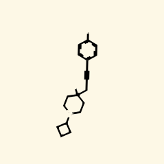 CCCC1(CC#Cc2ccc(C(=O)OCC)cc2)CCN(C2CCC2)CC1